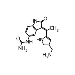 CC(=C1C(=O)Nc2ccc(NC(N)=O)cc21)c1cc(CN)c[nH]1